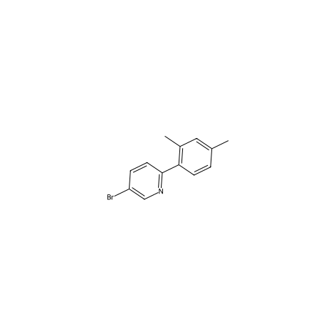 Cc1ccc(-c2ccc(Br)cn2)c(C)c1